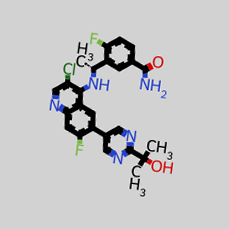 C[C@@H](Nc1c(Cl)cnc2cc(F)c(-c3cnc(C(C)(C)O)nc3)cc12)c1cc(C(N)=O)ccc1F